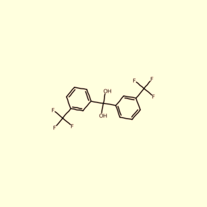 OC(O)(c1cccc(C(F)(F)F)c1)c1cccc(C(F)(F)F)c1